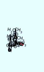 COC(=O)CCCCCNC(=O)[C@H](Cc1ccccc1)NC(=O)CNC(=O)[C@@H](CCSC)NC(=O)[C@@H](N)Cc1c(C)cc(OC(=O)OCC(C)C)c(C)c1C.Cl.O.O.O